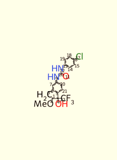 C=C(OC)C(O)(c1ccc(NC(=O)Nc2ccc(Cl)cc2)cc1)C(F)(F)F